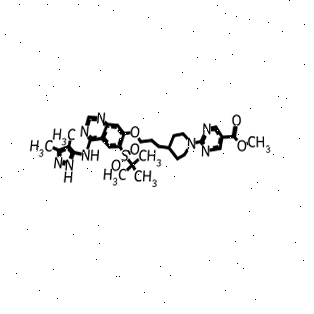 COC(=O)c1cnc(N2CCC(CCCOc3cc4ncnc(Nc5[nH]nc(C)c5C)c4cc3S(=O)(=O)C(C)(C)C)CC2)nc1